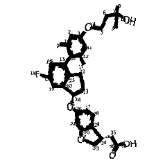 Cc1cc(OCCC(C)(C)O)cc(C)c1-c1cc(F)cc2c1CC[C@H]2Oc1ccc2c(c1)OC[C@H]2CC(=O)O